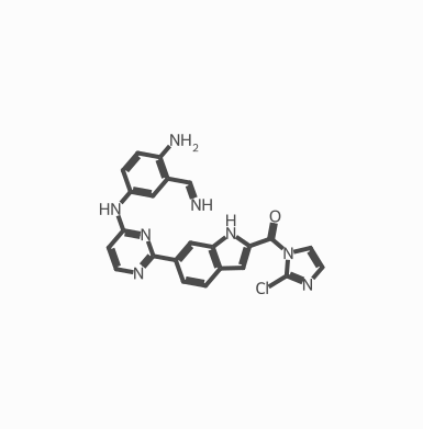 N=Cc1cc(Nc2ccnc(-c3ccc4cc(C(=O)n5ccnc5Cl)[nH]c4c3)n2)ccc1N